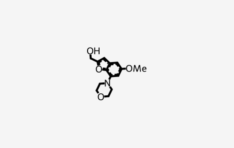 COc1cc(N2CCOCC2)c2oc(CO)cc2c1